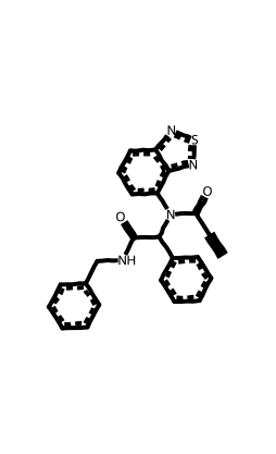 C#CC(=O)N(c1cccc2nsnc12)C(C(=O)NCc1ccccc1)c1ccccc1